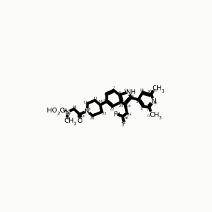 Cc1cc(-c2[nH]c3ccc(C4CCN(C(=O)CN(C)C(=O)O)CC4)cc3c2CC(F)F)cc(C)n1